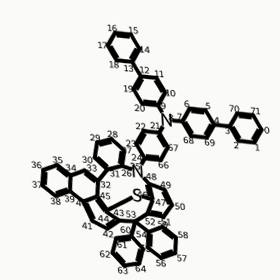 c1ccc(-c2ccc(N(c3ccc(-c4ccccc4)cc3)c3ccc(N4c5ccccc5-c5cc6ccccc6c6ccc7c(c56)Sc5c4cccc5C7(c4ccccc4)c4ccccc4)cc3)cc2)cc1